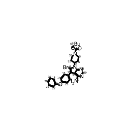 CC(C)(C)OC(=O)N1CCC(n2c(Br)c(-c3ccc(Oc4ccccc4)cc3)c3c(N)ncnc32)CC1